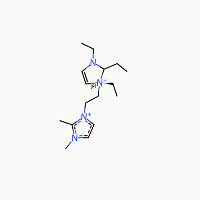 CCC1N(CC)C=C[N@@+]1(CC)CC[n+]1ccn(C)c1C